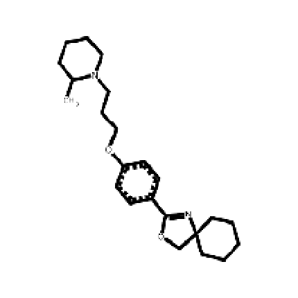 CC1CCCCN1CCCOc1ccc(C2=NC3(CCCCC3)CO2)cc1